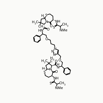 CNC(C)C(=S)N[C@H]1CCS[C@H]2CC(C)(C)[C@@H](C(=O)NC(COCCCn3cc(COCC(NC(=O)[C@H]4N5C(=O)[C@@H](NC(=S)C(C)NC)CCS[C@H]5CC4(C)C)c4ccccc4)nn3)c3ccccc3)N2C1=O